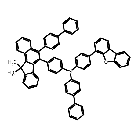 CC1(C)c2ccccc2-c2c(-c3ccc(N(c4ccc(-c5ccccc5)cc4)c4ccc(-c5cccc6c5oc5ccccc56)cc4)cc3)c(-c3ccc(-c4ccccc4)cc3)c3ccccc3c21